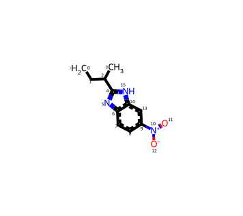 [CH2]CC(C)c1nc2ccc([N+](=O)[O-])cc2[nH]1